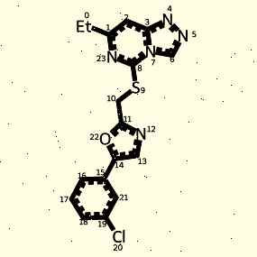 CCc1cc2nncn2c(SCc2ncc(-c3cccc(Cl)c3)o2)n1